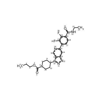 CCCOC(=O)N1CCC(n2nnc3cc(-c4ccc(C(=O)NCC)c(F)c4F)ncc32)CC1